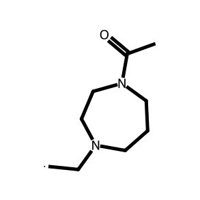 [CH2]CN1CCCN(C(C)=O)CC1